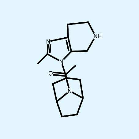 CC(=O)N1C2CCC1CC(n1c(C)nc3c1CNCC3)C2